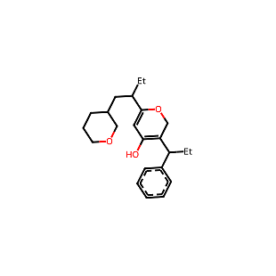 CCC(CC1CCCOC1)C1=CC(O)=C(C(CC)c2ccccc2)CO1